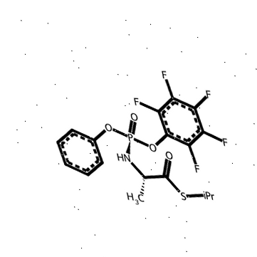 CC(C)SC(=O)[C@H](C)N[P@](=O)(Oc1ccccc1)Oc1c(F)c(F)c(F)c(F)c1F